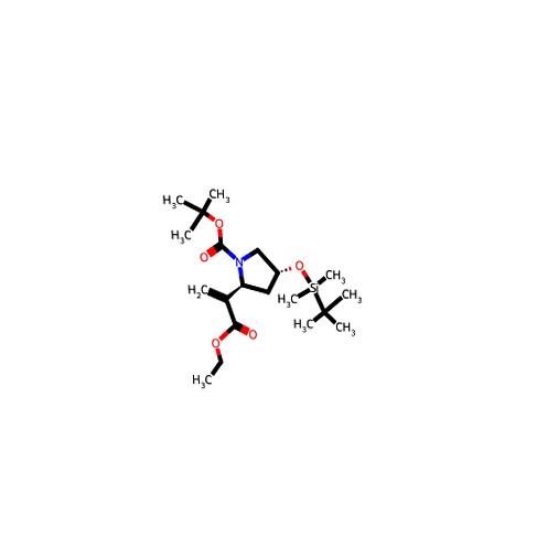 C=C(C(=O)OCC)[C@@H]1C[C@@H](O[Si](C)(C)C(C)(C)C)CN1C(=O)OC(C)(C)C